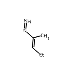 CC/C=C(\C)N=N